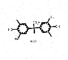 Cc1cc(C(C)(C(=O)O)c2cc(C)c(O)c(C(C)(C)C)c2)cc(C(C)(C)C)c1O.O